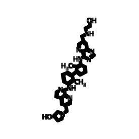 Cc1c(Nc2nccc3cc(CN4CC[C@@H](O)C4)cnc23)cccc1-c1cccc(Nc2ncnc3cc(CNCCO)cnc23)c1C